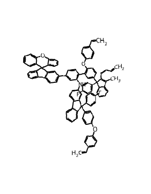 C=C/C=C\C1=C(C)c2ccccc2C1(c1ccc(F)cc1)c1ccc(Oc2ccc(C=C)cc2)c(-c2ccc(-c3ccc4c(c3)C3(c5ccccc5Oc5ccccc53)c3ccccc3-4)cc2Nc2ccc3c(c2)C(c2ccc(F)cc2)(c2ccc(Oc4ccc(C=C)cc4)cc2)c2ccccc2-3)c1